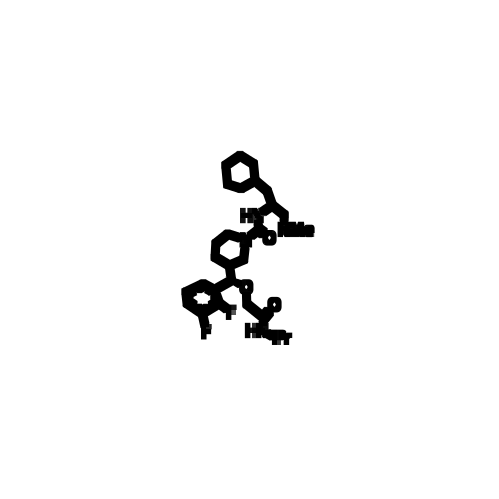 CNCC(CC1CCCCC1)NC(=O)N1CCCC([C@@H](OCC(=O)NC(C)C)c2cccc(F)c2F)C1